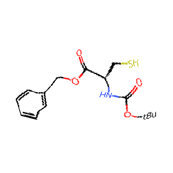 CC(C)(C)OC(=O)N[C@H](CS)C(=O)OCc1ccccc1